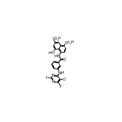 O=C(Nc1ccc(S(=O)(=O)O)c2cc(S(=O)(=O)O)cc(O)c12)c1cccc(Nc2nc(F)nc(F)c2Cl)c1